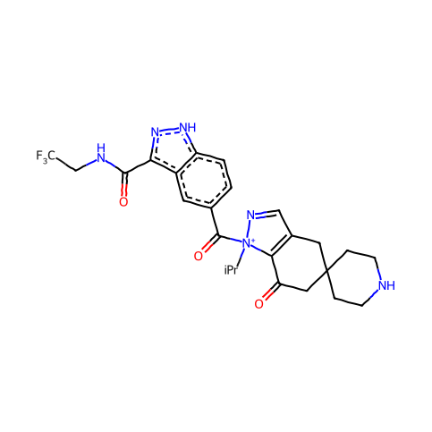 CC(C)[N+]1(C(=O)c2ccc3[nH]nc(C(=O)NCC(F)(F)F)c3c2)N=CC2=C1C(=O)CC1(CCNCC1)C2